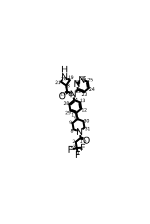 O=C(CC(F)(F)F)N1CCC(c2ccc(N(C(=O)C3CNC3)c3cccnn3)cc2)CC1